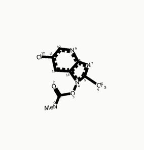 CNC(=O)On1c(C(F)(F)F)nc2ncc(Cl)cc21